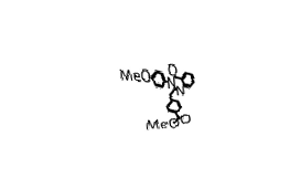 COC(=O)c1ccc(Cc2nc3ccccc3c(=O)n2-c2ccc(OC)cc2)cc1